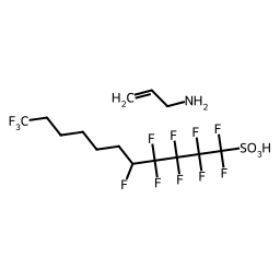 C=CCN.O=S(=O)(O)C(F)(F)C(F)(F)C(F)(F)C(F)(F)C(F)CCCCCC(F)(F)F